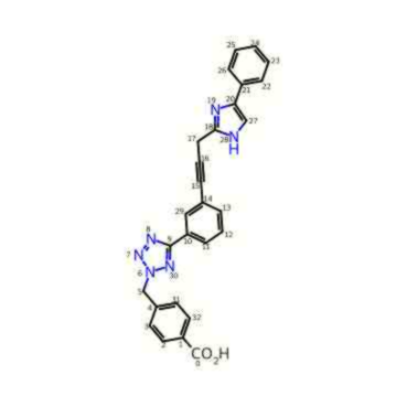 O=C(O)c1ccc(Cn2nnc(-c3cccc(C#CCc4nc(-c5ccccc5)c[nH]4)c3)n2)cc1